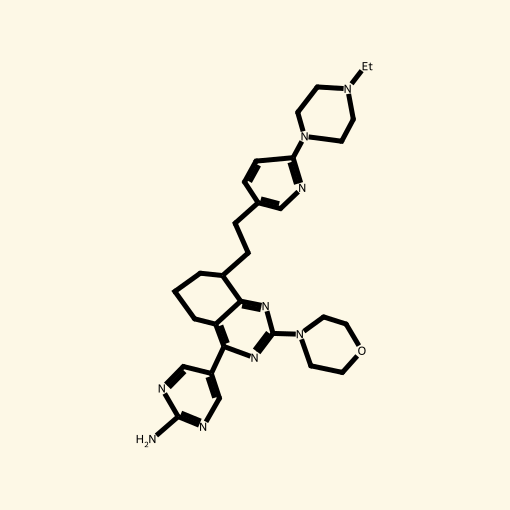 CCN1CCN(c2ccc(CCC3CCCc4c(-c5cnc(N)nc5)nc(N5CCOCC5)nc43)cn2)CC1